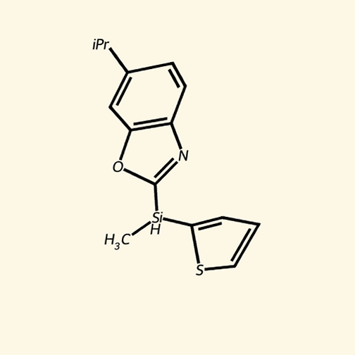 CC(C)c1ccc2nc([SiH](C)c3cccs3)oc2c1